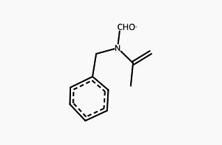 C=C(C)N([C]=O)Cc1ccccc1